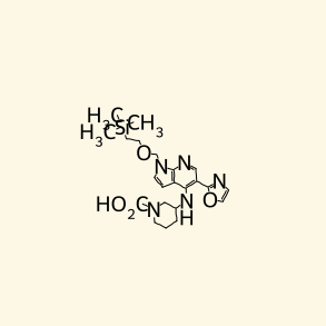 C[Si](C)(C)CCOCn1ccc2c(NC3CCCN(C(=O)O)C3)c(-c3ncco3)cnc21